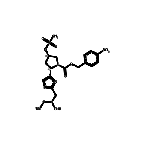 CC(C)(C)ON(C=O)Cc1nc([C@@H]2C[C@@H](OS(C)(=O)=O)CN2C(=O)OCc2ccc([N+](=O)[O-])cc2)cs1